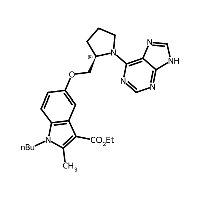 CCCCn1c(C)c(C(=O)OCC)c2cc(OC[C@H]3CCCN3c3ncnc4[nH]cnc34)ccc21